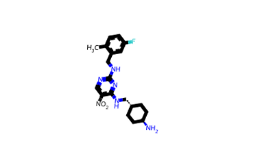 Cc1ccc(F)cc1CNc1ncc([N+](=O)[O-])c(NC[C@H]2CC[C@H](N)CC2)n1